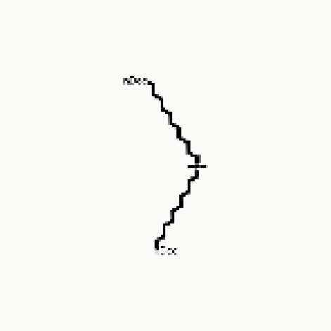 CCCCCCCCCCCCCCCCCCCCC[PH](C)(C)CCCCCCCCCCCCCCCCCCCC